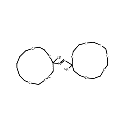 N#CC1(N=NC2(C#N)CCCCCCCCCCCCCCC2)CCCCCCCCCCCCCCC1